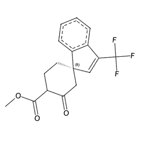 COC(=O)C1CC[C@]2(C=C(C(F)(F)F)c3ccccc32)CC1=O